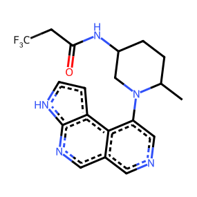 CC1CCC(NC(=O)CC(F)(F)F)CN1c1cncc2cnc3[nH]ccc3c12